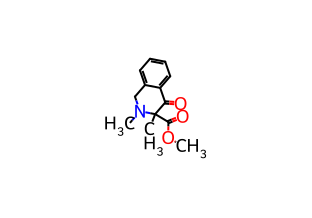 COC(=O)C1(C)C(=O)c2ccccc2CN1C